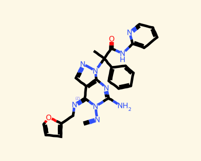 C=Nn1c(N)nc2c(cnn2C(C)(C(=O)Nc2ccccn2)c2ccccc2)/c1=N/Cc1ccco1